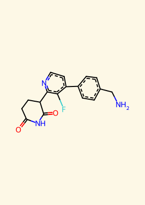 NCc1ccc(-c2ccnc(C3CCC(=O)NC3=O)c2F)cc1